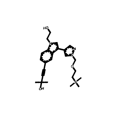 CC(C)(O)C#Cc1ccc2c(c1)c(-c1cnn(COCC[Si](C)(C)C)c1)cn2CCO